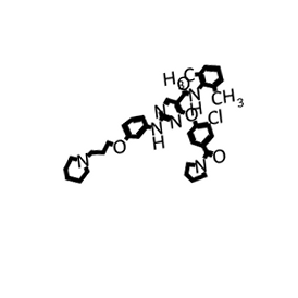 Cc1cccc(C)c1NC(=O)c1cnc(Nc2cccc(OCCCN3CCCCC3)c2)nc1Oc1ccc(C(=O)N2CCCC2)cc1Cl